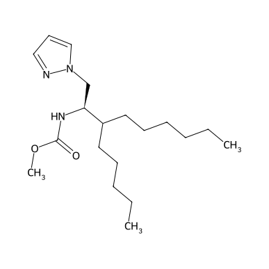 CCCCCCC(CCCCC)[C@H](Cn1cccn1)NC(=O)OC